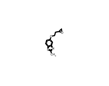 Cc1nc2cc(OCCC3CO3)ccc2s1